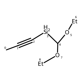 CC#C[SiH2]C(OCC)OCC